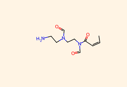 C/C=C\C(=O)N(C=O)CCN(C=O)CCN